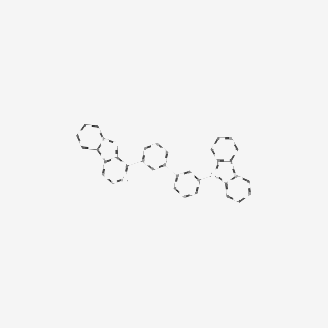 c1cc(-c2cccc(-n3c4ccccc4c4ccccc43)c2)cc(-c2nccc3c2sc2ccccc23)c1